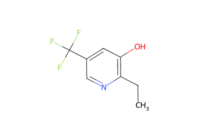 CCc1ncc(C(F)(F)F)cc1O